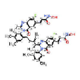 C=C(CCc1cc(C)c(C)cc1-n1c(CC)nc2cc(F)c(/C=C/C(=O)NO)cc2c1=O)C(C)c1nc2cc(F)c(/C=C/C(=O)NO)cc2c(=O)n1-c1cc(C)cc(C)c1